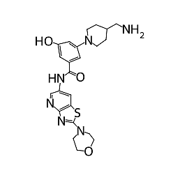 NCC1CCN(c2cc(O)cc(C(=O)Nc3cnc4nc(N5CCOCC5)sc4c3)c2)CC1